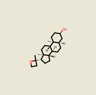 CC1([C@H]2CC[C@H]3[C@@H]4CC[C@@H]5C[C@H](O)CC[C@]5(C)[C@H]4CC[C@]23C)CCO1